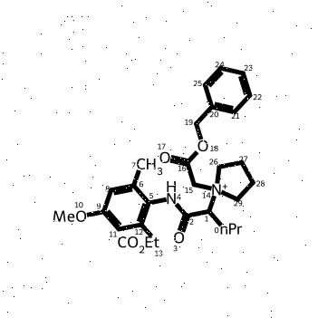 CCCC(C(=O)Nc1c(C)cc(OC)cc1C(=O)OCC)[N+]1(CC(=O)OCc2ccccc2)CCCC1